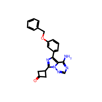 Nc1ncnn2c(C3CC(=O)C3)nc(-c3cccc(OCc4ccccc4)c3)c12